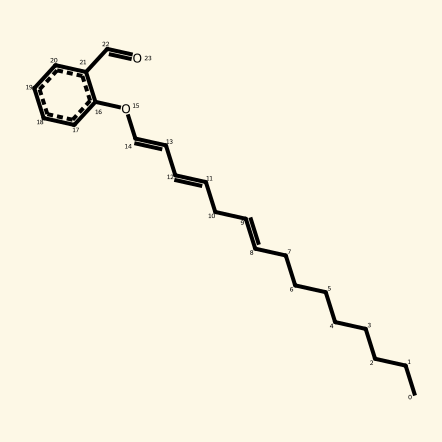 CCCCCCCCC=CCC=CC=COc1ccccc1C=O